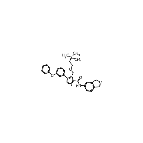 C[Si](C)(C)CCOCn1c(-c2cccc(Oc3ccccc3)c2)cnc1C(=O)Nc1ccc2c(c1)COC2